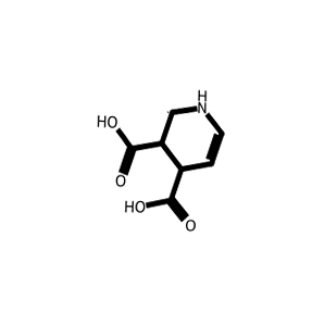 O=C(O)C1[CH]NC=CC1C(=O)O